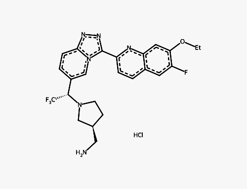 CCOc1cc2nc(-c3nnc4ccc([C@H](N5CC[C@@H](CN)C5)C(F)(F)F)cn34)ccc2cc1F.Cl